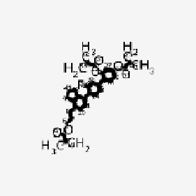 C=C(C)C(=O)OCCCc1ccc(-c2ccc(-c3ccc(OC(=O)C(=C)C)cc3OC(=O)C(=C)C)cc2F)c2c1CCC2